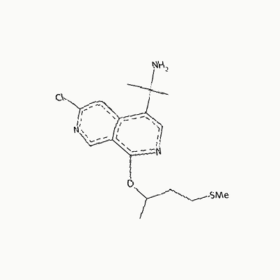 CSCCC(C)Oc1ncc(C(C)(C)N)c2cc(Cl)ncc12